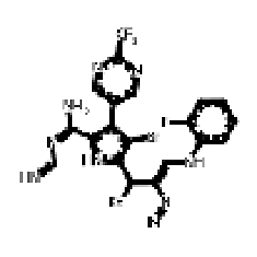 CCC(/C(=C/Nc1ccccc1F)N=N)c1[nH]c(/C(N)=N\C=N)c(-c2cnc(C(F)(F)F)nc2)c1Br